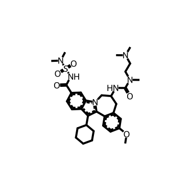 COc1ccc2c(c1)CC(NC(=O)N(C)CCN(C)C)Cn1c-2c(C2CCCCC2)c2ccc(C(=O)NS(=O)(=O)N(C)C)cc21